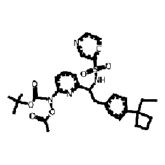 CCC1(c2ccc(CC(NS(=O)(=O)c3cccnc3)c3cccc(N(OC(C)=O)C(=O)OC(C)(C)C)n3)cc2)CCC1